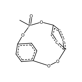 CP1(=O)Oc2ccc(cc2)OOc2ccc(cc2)O1